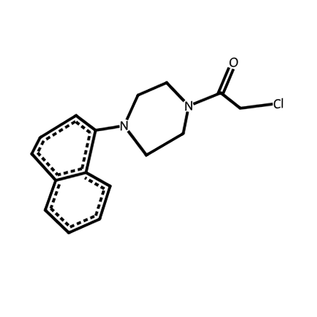 O=C(CCl)N1CCN(c2cccc3ccccc23)CC1